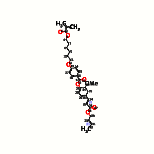 C=C(C)C(=O)OCCCCCCOc1ccc(C(=O)OC2=CC=C(/C=C/C(=O)OC/C=C/C)CC2OC)cc1